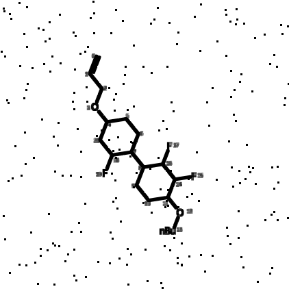 C=CCOC1CCC(C2CCC(OCCCC)C(F)C2F)C(F)C1